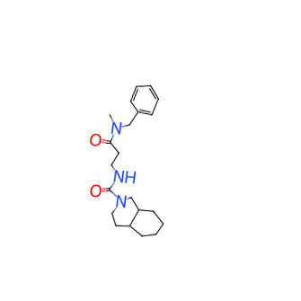 CN(Cc1ccccc1)C(=O)CCNC(=O)N1CCC2CCCCC2C1